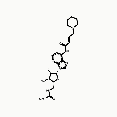 COC(=O)NC[C@H]1O[C@@H](n2cnc3c(NC(=O)/C=C/CN4CCCCC4)ncnc32)[C@H](O)[C@@H]1O